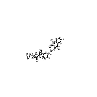 CCOC(=O)C(Cc1ccc(OCCn2c(=O)c3ccccc3n(C)c2=O)cc1)(OCC)C(=O)NC